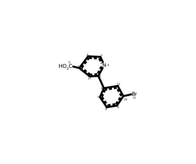 O=C(O)c1ccnc(-c2cccc(Br)c2)c1